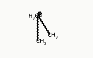 CCCCCCCCCCCCCCCCCC[Si](C)(CCCCCCCCCCCCCCCC)C1CCCCO1